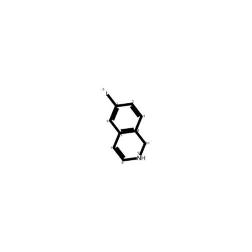 Ic1ccc2c(c1)C=CNC2